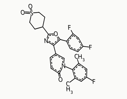 Cc1cc(F)cc(C)c1-n1cc(-c2nc(C3CCS(=O)(=O)CC3)oc2-c2ccc(F)cc2F)ccc1=O